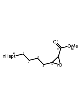 CCCCCCCCCCCC1OC1C(=O)OC